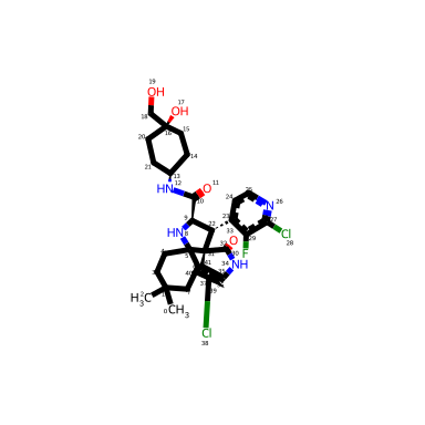 CC1(C)CCC2(CC1)N[C@@H](C(=O)N[C@H]1CC[C@@](O)(CO)CC1)[C@H](c1ccnc(Cl)c1F)[C@]21C(=O)Nc2cc(Cl)ccc21